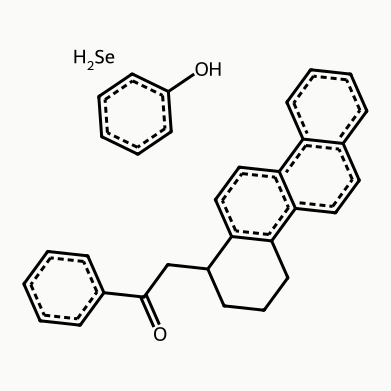 O=C(CC1CCCc2c1ccc1c2ccc2ccccc21)c1ccccc1.Oc1ccccc1.[SeH2]